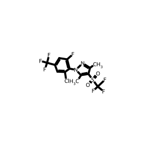 Cc1nn(-c2c(F)cc(C(F)(F)F)cc2Cl)c(C)c1S(=O)(=O)C(F)(F)F